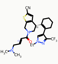 CCn1cc(C2=C([C@@H]3CN(C(=O)/C=C/CN(C)C)Cc4sc(C#N)cc43)CCCC2)c(C(F)(F)F)n1